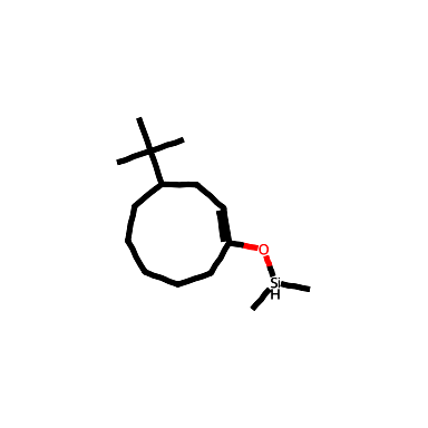 C[SiH](C)OC1=CCC(C(C)(C)C)CCCCC1